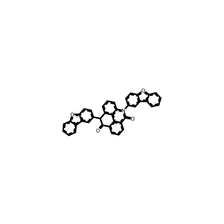 O=C1c2cccc3c(=O)n(-c4ccc5oc6ccccc6c5c4)c4cccc(c4c23)C1c1ccc2oc3ccccc3c2c1